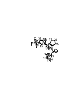 O=C(N1CCN2CCC1CC2)n1nc(-n2cc(C(F)(F)F)cn2)c2c1CCC2